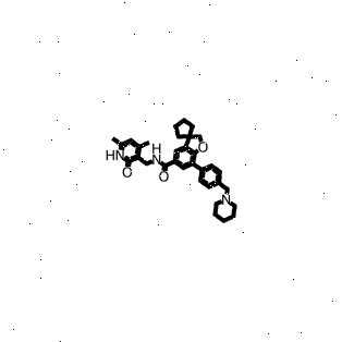 Cc1cc(C)c(CNC(=O)c2cc(-c3ccc(CN4CCCCC4)cc3)c3c(c2)C2(CCCC2)CO3)c(=O)[nH]1